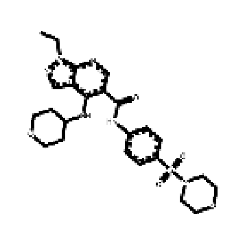 CCn1ncc2c(NC3CCOCC3)c(C(=O)Nc3ccc(S(=O)(=O)N4CCOCC4)cc3)cnc21